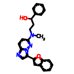 CN(CCC(O)c1ccccc1)c1ccc2ncc(-c3cc4ccccc4o3)n2n1